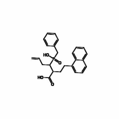 C=CCC(C(CCc1cccc2ccccc12)C(=O)O)P(=O)(O)Cc1ccccc1